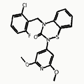 COc1cc(N2Sc3ccccc3N(Cc3c(F)cccc3Cl)C2=O)cc(OC)n1